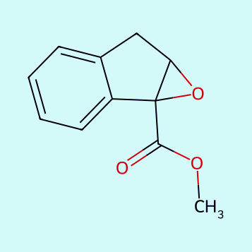 COC(=O)C12OC1Cc1ccccc12